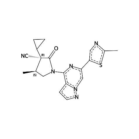 Cc1ncc(-c2cn3nccc3c(N3C[C@@H](C)[C@@](C#N)(C4CC4)C3=O)n2)s1